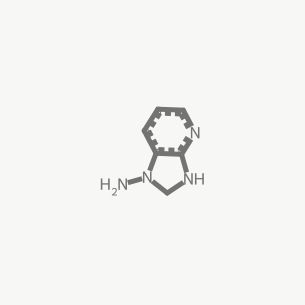 NN1CNc2ncccc21